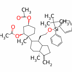 C=C1CCC2[C@H](CCO[Si](c3ccccc3)(c3ccccc3)C(C)(C)C)C([C@@]3(C)CC[C@H](OC(C)=O)C[C@@H]3OC(C)=O)CC[C@]12C